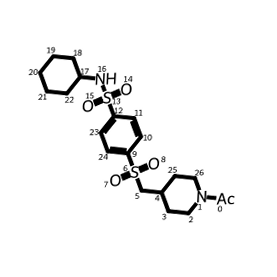 CC(=O)N1CCC(CS(=O)(=O)c2ccc(S(=O)(=O)NC3CCCCC3)cc2)CC1